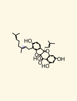 CC(C)=CCC/C(C)=C/Cc1c(O)ccc2c1O[C@]1(O)C(=O)c3c(O)cc(O)cc3O[C@]21CC=C(C)C